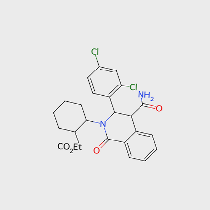 CCOC(=O)C1CCCCC1N1C(=O)c2ccccc2C(C(N)=O)C1c1ccc(Cl)cc1Cl